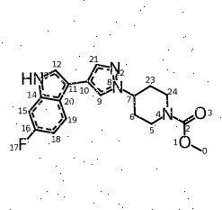 COC(=O)N1CCC(n2cc(-c3c[nH]c4cc(F)ccc34)cn2)CC1